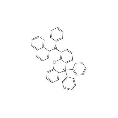 c1ccc(N(c2cccc3c2Oc2ccccc2[Si]3(c2ccccc2)c2ccccc2)c2cccc3ccccc23)cc1